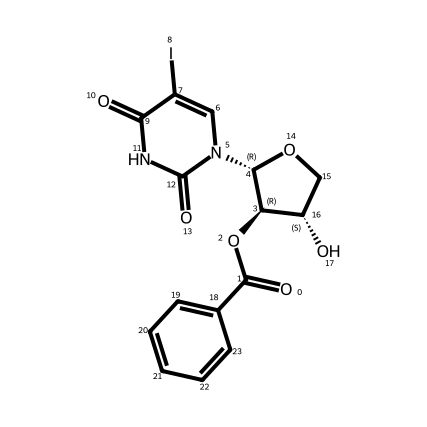 O=C(O[C@H]1[C@H](n2cc(I)c(=O)[nH]c2=O)OC[C@@H]1O)c1ccccc1